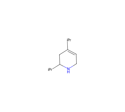 CC(C)C1=CCNC(C(C)C)C1